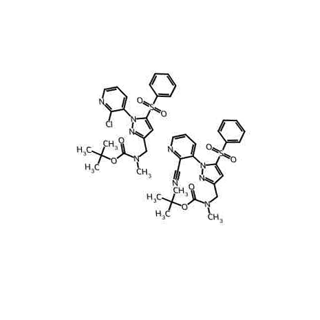 CN(Cc1cc(S(=O)(=O)c2ccccc2)n(-c2cccnc2C#N)n1)C(=O)OC(C)(C)C.CN(Cc1cc(S(=O)(=O)c2ccccc2)n(-c2cccnc2Cl)n1)C(=O)OC(C)(C)C